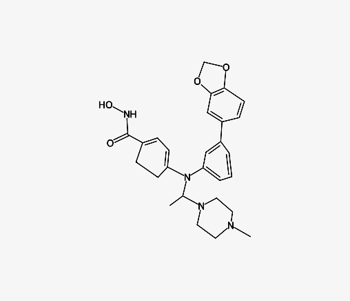 CC(N1CCN(C)CC1)N(C1=CC=C(C(=O)NO)CC1)c1cccc(-c2ccc3c(c2)OCO3)c1